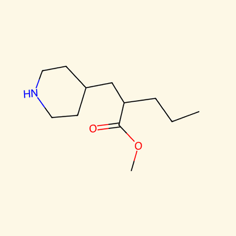 CCCC(CC1CCNCC1)C(=O)OC